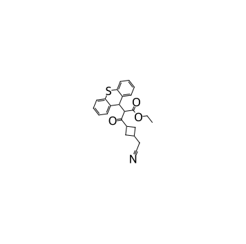 CCOC(=O)C(C(=O)C1CC(CC#N)C1)C1c2ccccc2Sc2ccccc21